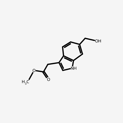 COC(=O)Cc1c[nH]c2cc(CO)ccc12